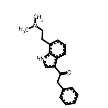 CN(C)CCc1cccc2c(C(=O)Cc3ccccc3)c[nH]c12